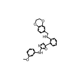 COc1cccc(Nc2ncc(-c3ccccc3NCc3ccc4c(c3)OCCO4)o2)c1